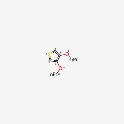 CCCOc1cscc1OCCC